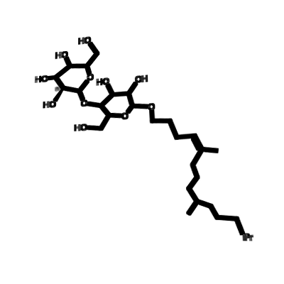 CC(=CCCCOC1OC(CO)C(OC2OC(CO)C(O)C(O)[C@@H]2O)C(O)C1O)CCCC(C)CCCC(C)C